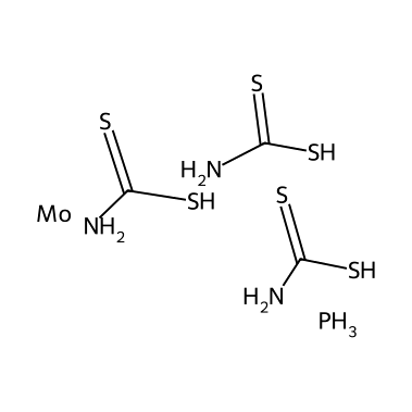 NC(=S)S.NC(=S)S.NC(=S)S.P.[Mo]